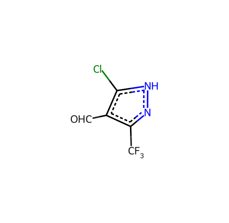 O=Cc1c(C(F)(F)F)n[nH]c1Cl